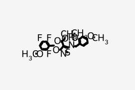 COC(=O)c1c(OCc2c(F)c(F)cc(OC)c2F)nsc1NCc1ccc(OC)cc1OC